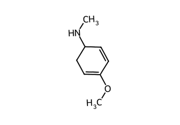 CNC1C=CC(OC)=CC1